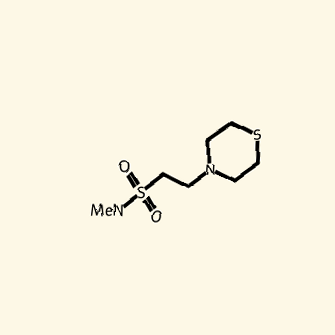 CNS(=O)(=O)CCN1CCSCC1